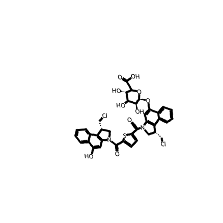 O=C(O)C1O[C@@H](Oc2cc3c(c4ccccc24)[C@H](CCl)CN3C(=O)c2ccc(C(=O)N3C[C@@H](CCl)c4c3cc(O)c3ccccc43)s2)[C@@H](O)C(O)[C@@H]1O